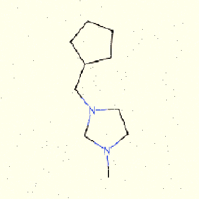 CN1CCN(CC2CCCC2)C1